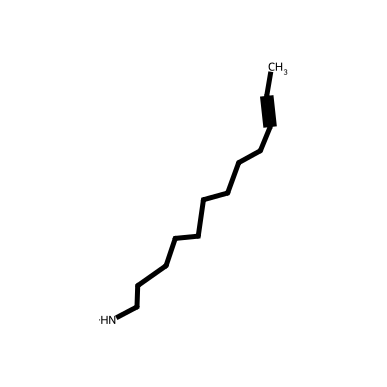 CC#CCCCCCCCCC[NH]